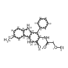 CCOCC(=O)Nc1c(-c2ccccc2)c2[nH]c3ccc(C)cc3c2[nH]c1=O